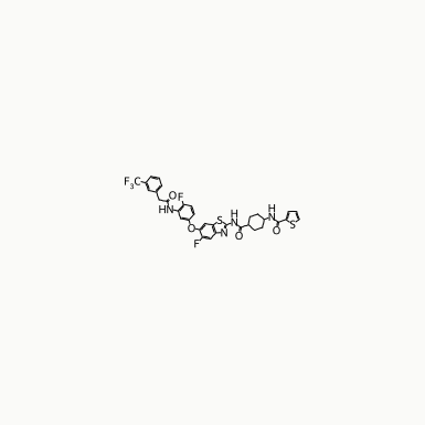 O=C(Cc1cccc(C(F)(F)F)c1)Nc1cc(Oc2cc3sc(NC(=O)C4CCC(NC(=O)c5cccs5)CC4)nc3cc2F)ccc1F